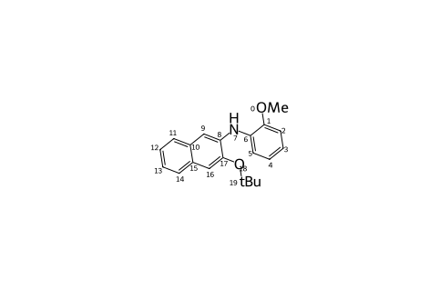 COc1ccccc1Nc1cc2ccccc2cc1OC(C)(C)C